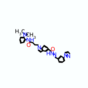 CN(C)c1ccccc1NC(=O)CCCn1ccc2cc(C(=O)N/N=C/c3cccc(-n4cccn4)c3)ccc21